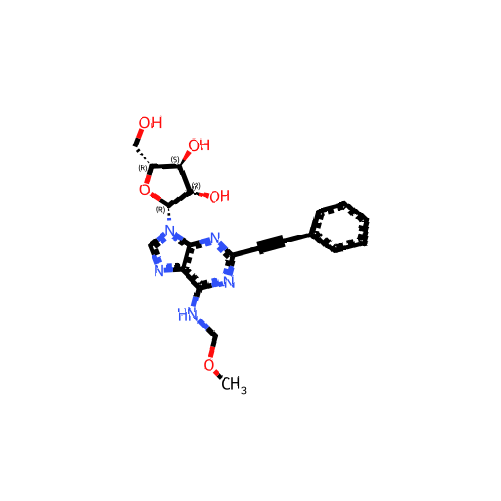 COCNc1nc(C#Cc2ccccc2)nc2c1ncn2[C@@H]1O[C@H](CO)[C@@H](O)[C@H]1O